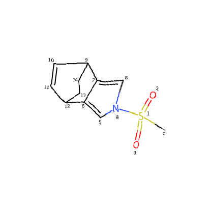 CS(=O)(=O)n1cc2c(c1)C1C=CC2CC1